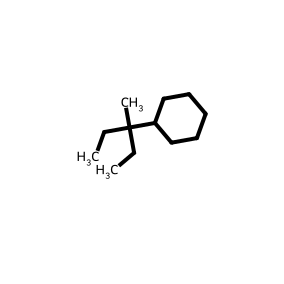 CCC(C)(CC)C1CCCCC1